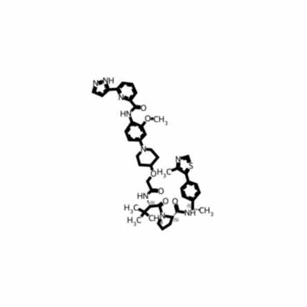 COc1cc(N2CCC(OCC(=O)N[C@H](C(=O)N3CCC[C@H]3C(=O)N[C@@H](C)c3ccc(-c4scnc4C)cc3)C(C)(C)C)CC2)ccc1NC(=O)c1cccc(-c2ccn[nH]2)n1